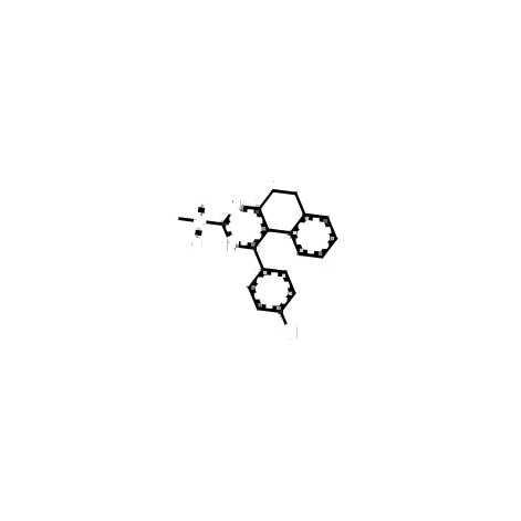 CS(=O)(=O)c1nc2c(c(-c3ccc(Cl)cc3)n1)-c1ccccc1CC2